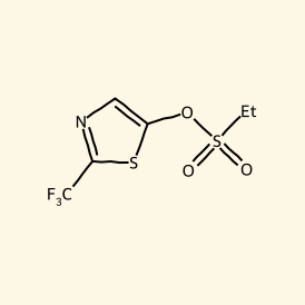 CCS(=O)(=O)Oc1cnc(C(F)(F)F)s1